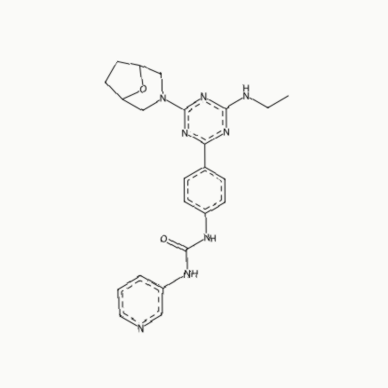 CCNc1nc(-c2ccc(NC(=O)Nc3cccnc3)cc2)nc(N2CC3CCC(C2)O3)n1